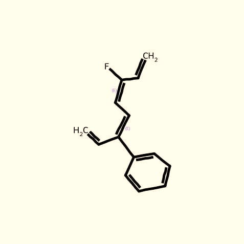 C=C/C(F)=C\C=C(/C=C)c1ccccc1